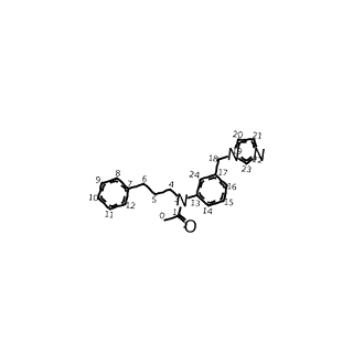 CC(=O)N(CCCc1ccccc1)c1cccc(Cn2ccnc2)c1